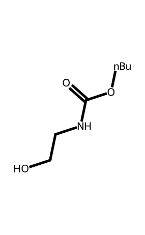 CCCCOC(=O)NCCO